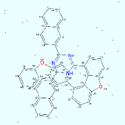 c1ccc2cc(C3=NC(c4ccc5ccccc5c4)NC(c4cccc5oc6cccc(-c7ccc8oc9ccccc9c8c7)c6c45)=N3)ccc2c1